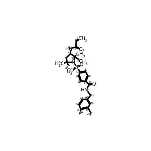 C=CC(=O)NC1CC(C)(C)N(S(=O)(=O)c2ccc(C(=O)NCc3ccc(F)c(F)c3)cc2)C1(C)C